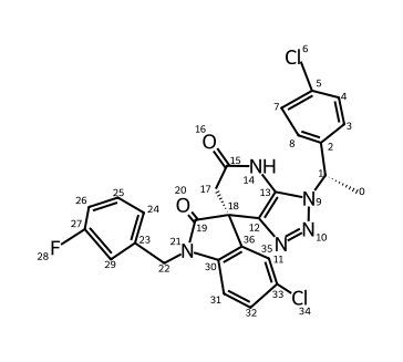 C[C@@H](c1ccc(Cl)cc1)n1nnc2c1NC(=O)C[C@]21C(=O)N(Cc2cccc(F)c2)c2ccc(Cl)cc21